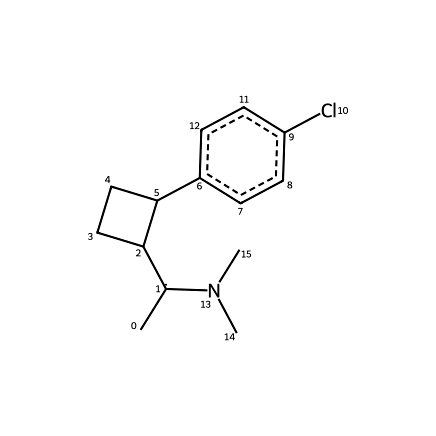 C[C](C1CCC1c1ccc(Cl)cc1)N(C)C